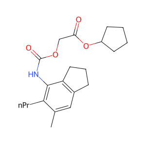 CCCc1c(C)cc2c(c1NC(=O)OCC(=O)OC1CCCC1)CCC2